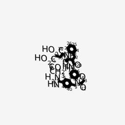 CC(=O)O.N=C(N)c1ccc(CN2C(=O)COc3cc(NC(=O)C(Cc4ccccc4)C(=O)N[C@@H](CCC(=O)O)C(=O)O)ccc32)cc1